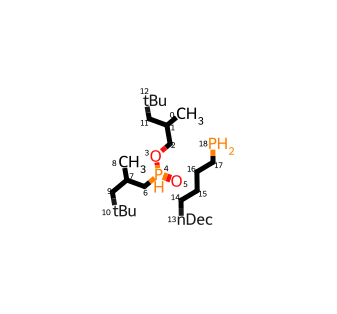 CC(CO[PH](=O)CC(C)CC(C)(C)C)CC(C)(C)C.CCCCCCCCCCCCCCP